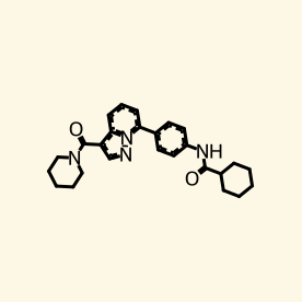 O=C(Nc1ccc(-c2cccc3c(C(=O)N4CCCCC4)cnn23)cc1)C1CCCCC1